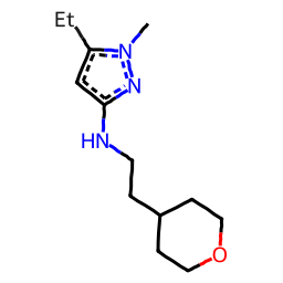 CCc1cc(NCCC2CCOCC2)nn1C